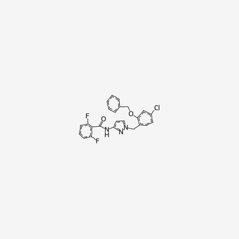 O=C(Nc1ccn(Cc2ccc(Cl)cc2OCc2ccccc2)n1)c1c(F)cccc1F